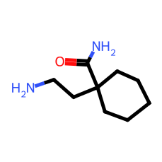 NCCC1(C(N)=O)CCCCC1